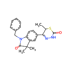 CC1SC(=O)NN=C1c1ccc2c(c1)C(C)(C)C(=O)N2Cc1ccccc1